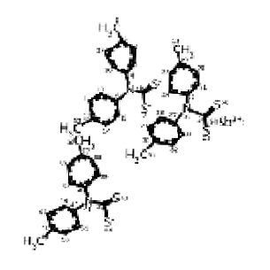 Cc1ccc(N(C(=S)[S-])c2ccc(C)cc2)cc1.Cc1ccc(N(C(=S)[S-])c2ccc(C)cc2)cc1.Cc1ccc(N(C(=S)[S-])c2ccc(C)cc2)cc1.[Sb+3]